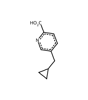 O=C(O)c1ccc(CC2CC2)cn1